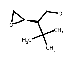 CC(C)(C)C(C[O])[C@@H]1CO1